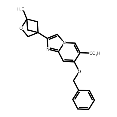 CC12CC(c3cn4cc(C(=O)O)c(OCc5ccccc5)cc4n3)(CO1)C2